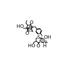 CCC1C(=O)[C@]2(Cc3ccc(C[C@@]4(C(O)NC)SCC(CO)C(=O)N4C)cc3)SS[C@@]1(CO)C(=O)N2C